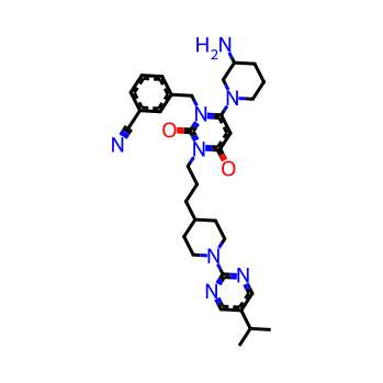 CC(C)c1cnc(N2CCC(CCCn3c(=O)cc(N4CCCC(N)C4)n(Cc4cccc(C#N)c4)c3=O)CC2)nc1